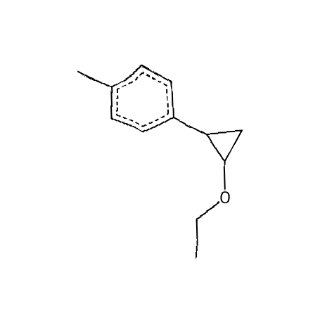 CCOC1CC1c1ccc(C)cc1